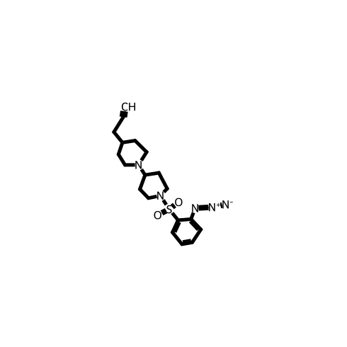 C#CCC1CCN(C2CCN(S(=O)(=O)c3ccccc3N=[N+]=[N-])CC2)CC1